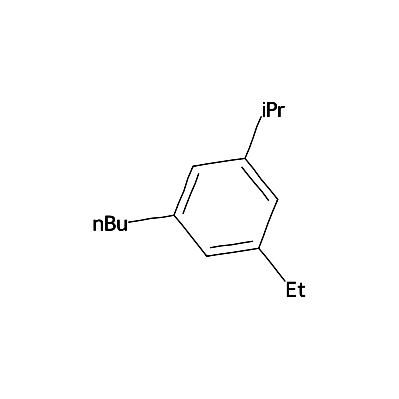 [CH2]C(C)c1cc(CC)cc(CCCC)c1